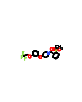 CS(=O)(=O)c1ccccc1C(=O)N1CCC(Oc2cccc(OCC(F)(F)F)c2)CC1